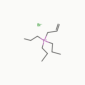 C=CC[P+](CCC)(CCC)CCC.[Br-]